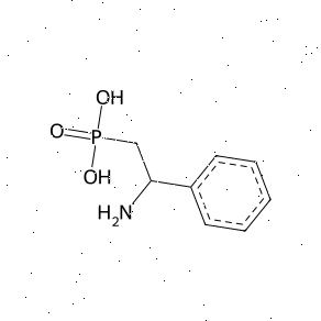 NC(CP(=O)(O)O)c1ccccc1